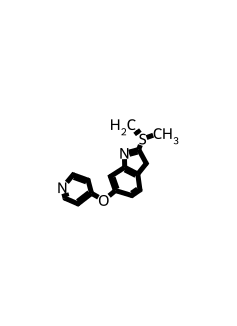 C=S(C)C1=Nc2cc(Oc3ccncc3)ccc2C1